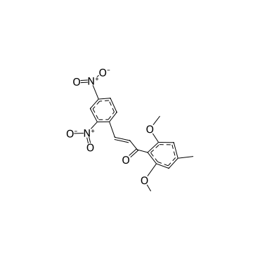 COc1cc(C)cc(OC)c1C(=O)/C=C/c1ccc([N+](=O)[O-])cc1[N+](=O)[O-]